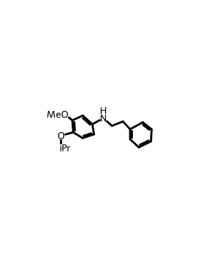 COc1cc(NCCc2ccccc2)ccc1OC(C)C